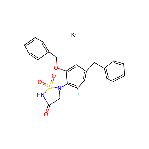 O=C1CN(c2c(F)cc(Cc3ccccc3)cc2OCc2ccccc2)S(=O)(=O)N1.[K]